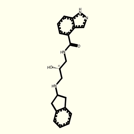 O=C(NC[C@@H](O)CNC1Cc2ccccc2C1)c1cccc2[nH]ncc12